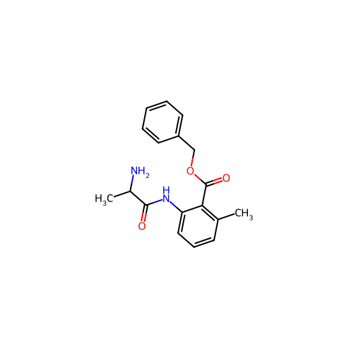 Cc1cccc(NC(=O)C(C)N)c1C(=O)OCc1ccccc1